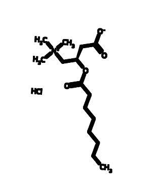 CCCCCCCC(=O)O[C@H](CC(=O)[O-])C[N+](C)(C)C.Cl